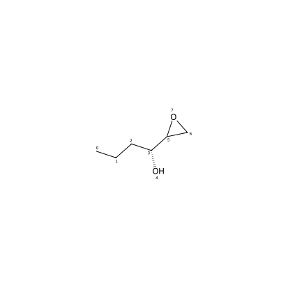 CCC[C@@H](O)C1CO1